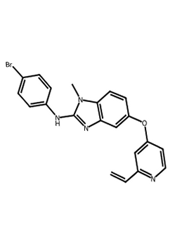 C=Cc1cc(Oc2ccc3c(c2)nc(Nc2ccc(Br)cc2)n3C)ccn1